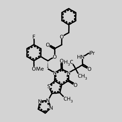 COc1ccc(F)cc1[C@@H](Cn1c(=O)n(C(C)(C)C(=O)NC(C)C)c(=O)c2c(C)c(-n3nccn3)sc21)OC(=O)COCc1ccccc1